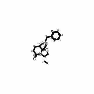 CC[C@H]1COC23CCN(Cc4ccccc4)CC2CCC(=O)N13